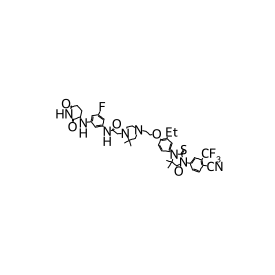 CCc1cc(N2C(=S)N(c3ccc(C#N)c(C(F)(F)F)c3)C(=O)C2(C)C)ccc1OCCN1CCN(CC(=O)Nc2cc(F)cc(NC3CCC(=O)NC3=O)c2)C(C)(C)C1